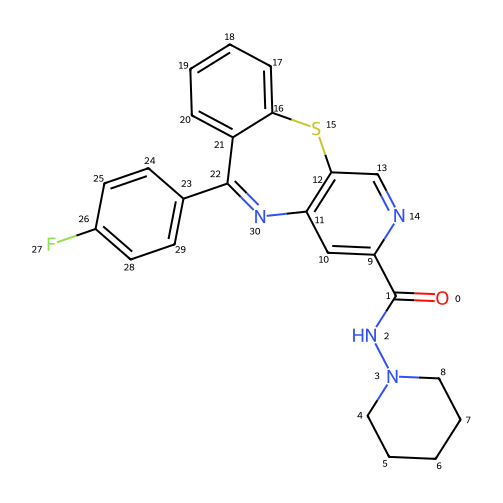 O=C(NN1CCCCC1)c1cc2c(cn1)Sc1ccccc1C(c1ccc(F)cc1)=N2